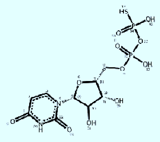 O=c1ccn([C@@H]2O[C@H](COP(=O)(O)OP(=O)(O)S)[C@H](O)C2O)c(=O)[nH]1